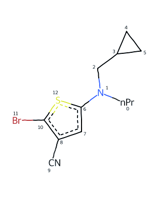 CCCN(CC1CC1)c1cc(C#N)c(Br)s1